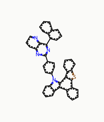 c1ccc2c(-c3nc(-c4ccc(-n5c6ccccc6c6c7ccccc7c7sc8ccccc8c7c65)cc4)nc4cccnc34)cccc2c1